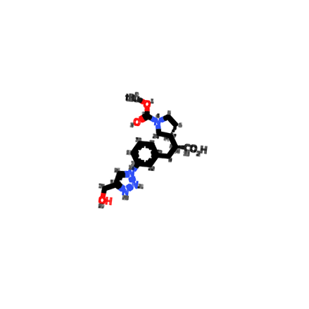 CC(C)(C)OC(=O)N1CC[C@H]([C@H](Cc2cccc(-n3cc(CO)nn3)c2)C(=O)O)C1